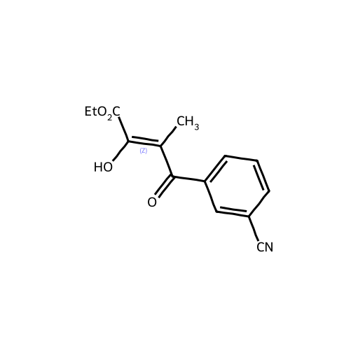 CCOC(=O)/C(O)=C(\C)C(=O)c1cccc(C#N)c1